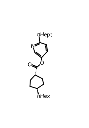 CCCCCCCc1ccc(OC(=O)[C@H]2CC[C@H](CCCCCC)CC2)cn1